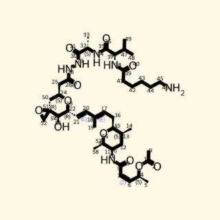 CC(=O)O[C@@H](C)/C=C\C(=O)N[C@@H]1C[C@H](C)[C@H](C/C=C(C)/C=C/[C@H]2O[C@H](CC(=O)NNC(=O)[C@H](C)NC(=O)[C@@H](NC(=O)CCCCCN)C(C)C)C[C@@]3(CO3)[C@@H]2O)O[C@@H]1C